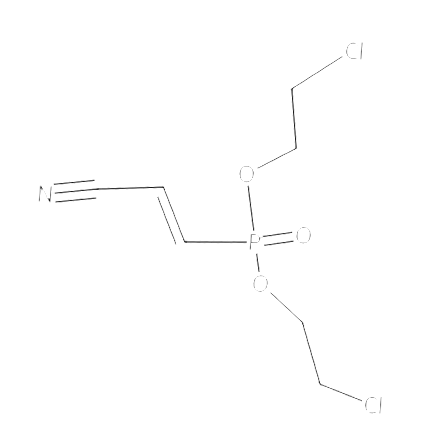 N#CC=CP(=O)(OCCCl)OCCCl